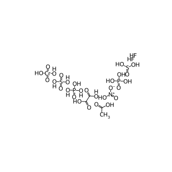 CC(=O)O.F.F.O=C(O)C(=O)O.O=P(O)(O)O.O=P(O)(O)O.O=S(=O)(O)O.O=S(O)O.O=[N+]([O-])O.[O]=[Cr](=[O])([OH])[OH]